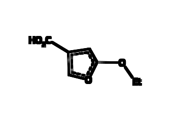 CCOc1cc(C(=O)O)co1